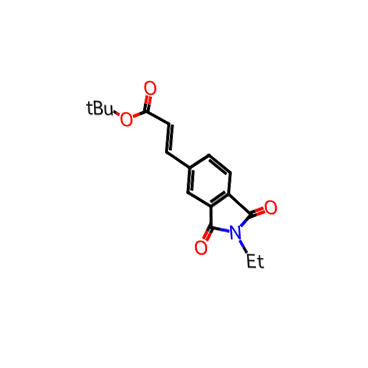 CCN1C(=O)c2ccc(C=CC(=O)OC(C)(C)C)cc2C1=O